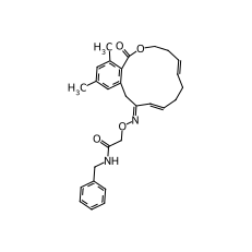 Cc1cc(C)c2c(c1)CC(=N\OCC(=O)NCc1ccccc1)/C=C/CC/C=C/CCOC2=O